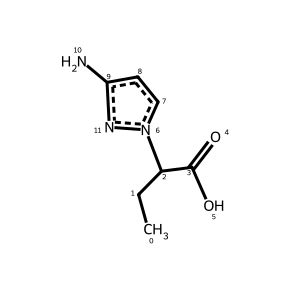 CCC(C(=O)O)n1ccc(N)n1